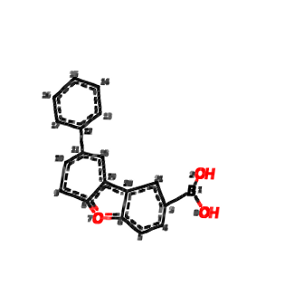 OB(O)c1ccc2oc3ccc(-c4ccccc4)cc3c2c1